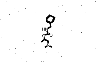 CC(CN(C)C)OC(=O)NCc1ccccc1